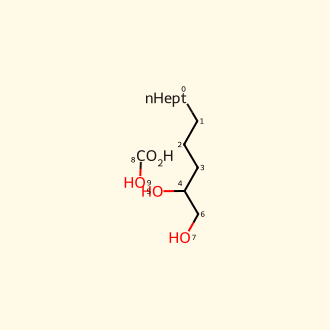 CCCCCCCCCCC(O)CO.O=C(O)O